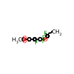 C=CCCc1ccc(OC(F)(F)C2CCC(c3ccc(C4CCC(C5OCC(C)CO5)CC4)cc3F)CC2)cc1F